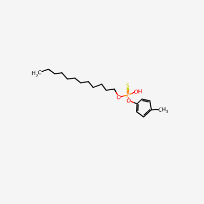 CCCCCCCCCCCCOP(O)(=S)Oc1ccc(C)cc1